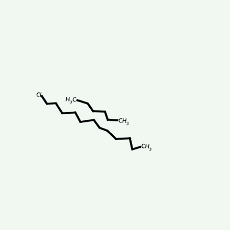 CCCCCC.CCCCCCCCCCCCCl